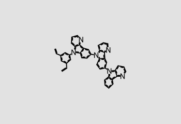 C=Cc1cc(C=C)cc(-n2c3ccc(-n4c5ccc(-n6c7ccccc7c7ncccc76)cc5c5ncccc54)cc3c3ncccc32)c1